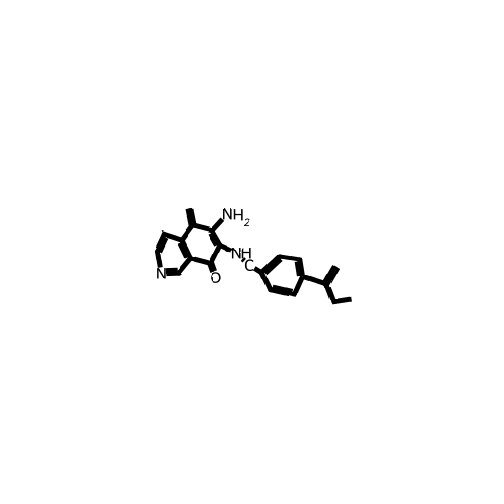 C=C(CC)c1ccc(CNC2=C(N)C(=C)c3ccncc3C2=O)cc1